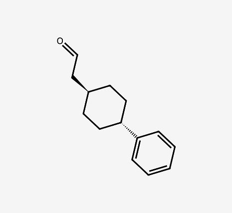 O=CC[C@H]1CC[C@H](c2ccccc2)CC1